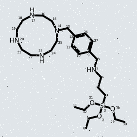 CCO[Si](CCCNCc1ccc(CN2CCNCCNCCNCC2)cc1)(OCC)OCC